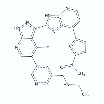 CCNCc1cncc(-c2cnc3[nH]nc(-c4nc5c(-c6ccc(C(C)=O)s6)ccnc5[nH]4)c3c2F)c1